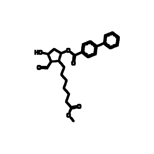 COC(=O)CCCCCCC1C(OC(=O)c2ccc(-c3ccccc3)cc2)CC(O)C1C=O